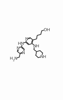 NCc1cnc(Nc2cc(NCC3CCNCC3)c(CCCCO)cn2)cn1